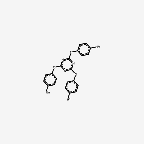 CCC(C)c1ccc(Oc2nc(Oc3ccc(C(C)C)cc3)nc(Oc3ccc(C(C)C)cc3)n2)cc1